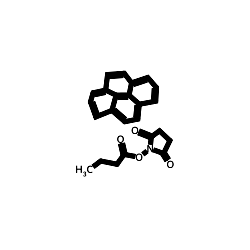 CCCC(=O)ON1C(=O)CCC1=O.c1cc2ccc3cccc4ccc(c1)c2c34